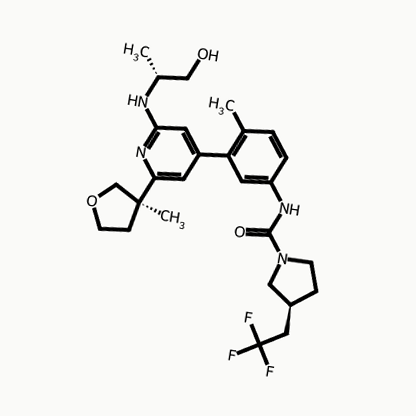 Cc1ccc(NC(=O)N2CC[C@@H](CC(F)(F)F)C2)cc1-c1cc(N[C@H](C)CO)nc([C@@]2(C)CCOC2)c1